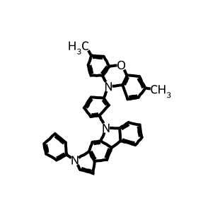 Cc1ccc2c(c1)Oc1cc(C)ccc1N2c1cccc(-n2c3ccccc3c3cc4ccn(-c5ccccc5)c4cc32)c1